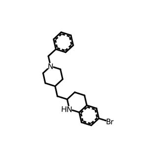 Brc1ccc2c(c1)CCC(CC1CCN(Cc3ccccc3)CC1)N2